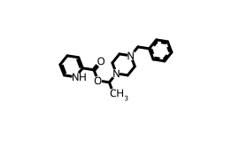 CC(OC(=O)C1=CCC=CN1)N1CCN(Cc2ccccc2)CC1